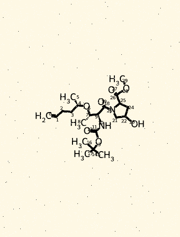 C=CCC[C@@H](C)O[C@@H](C)[C@H](NC(=O)OC(C)(C)C)C(=O)N1CC(O)CC1C(=O)OC